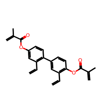 C=Cc1cc(-c2ccc(OC(=O)C(=C)C)cc2C=C)ccc1OC(=O)C(=C)C